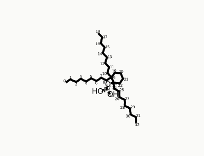 CCCCCCCCCC1(CCCCCCCCC)CCCCC1(CCCCCCCCC)OP(O)O